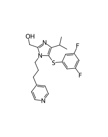 CC(C)c1nc(CO)n(CCCc2ccncc2)c1Sc1cc(F)cc(F)c1